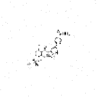 CCCS(=O)(=O)Nc1ccc(F)c(C(=O)c2n[nH]c3ncc(-c4ccc(C(N)=O)cc4)cc23)c1F